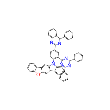 c1ccc(-c2nc(-c3ccccc3)nc(-c3cc(-c4nc(-c5ccccc5)c5ccccc5n4)ccc3-n3c4ccccc4c4cc5oc6ccccc6c5cc43)n2)cc1